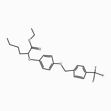 CCCCC(Oc1ccc(OCc2ccc(C(F)(F)F)cc2)cc1)C(=O)OCC